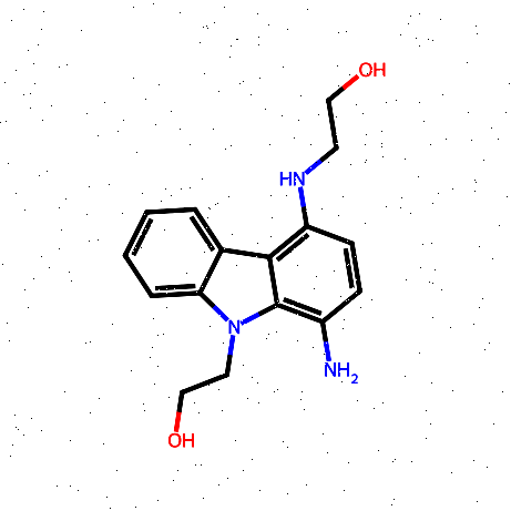 Nc1ccc(NCCO)c2c3ccccc3n(CCO)c12